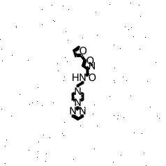 O=C(NCCN1CCN(c2ncccn2)CC1)c1cc(-c2ccco2)on1